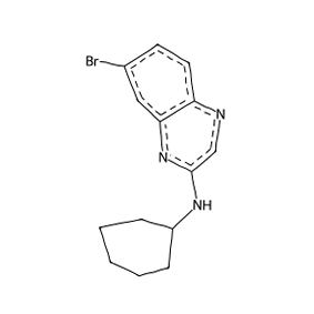 Brc1ccc2ncc(NC3CCCCC3)nc2c1